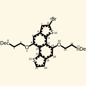 CCCCCCCCCCCCOc1cc2cc(Br)sc2c2c(OCCCCCCCCCCCC)cc3ccsc3c12